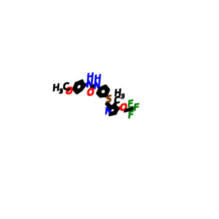 COc1ccc(NC(=O)Nc2ccc(SCc3nccc(OCC(F)(F)F)c3C)cc2)cc1